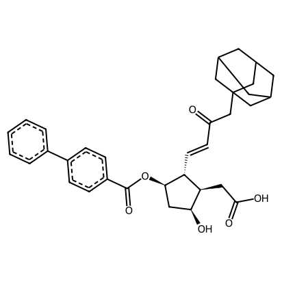 O=C(O)C[C@@H]1[C@@H](C=CC(=O)CC23CC4CC(CC(C4)C2)C3)[C@H](OC(=O)c2ccc(-c3ccccc3)cc2)C[C@@H]1O